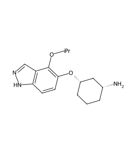 CC(C)Oc1c(O[C@H]2CCC[C@@H](N)C2)ccc2[nH]ncc12